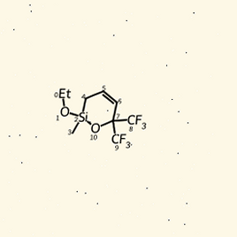 CCO[Si]1(C)CC=CC(C(F)(F)F)(C(F)(F)F)O1